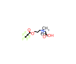 C[N+](C)(CCCOC(=O)C(F)(F)C(F)(F)F)CC(=O)O